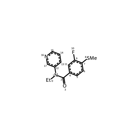 CCN(C(=O)c1ccc(SC)c(F)c1)c1cccnc1